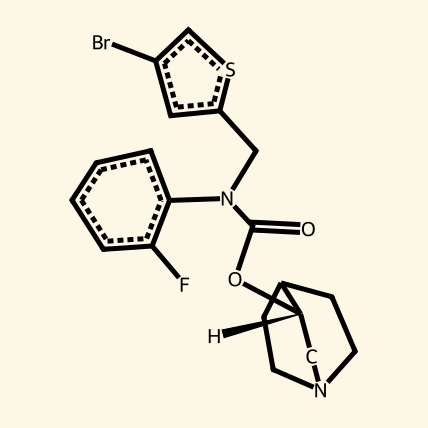 O=C(O[C@H]1CN2CCC1CC2)N(Cc1cc(Br)cs1)c1ccccc1F